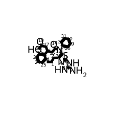 CCCc1nc(NC(=N)N)sc1N(C(=O)CC(CC(=O)O)c1ccccc1)c1ccccc1